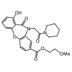 COCCOC(=O)c1ccc2c(c1)N(CC(=O)N1CCCCC1)C(=O)c1c(O)cccc1O2